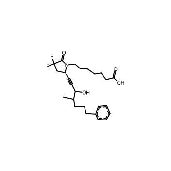 CC(CCCc1ccccc1)C(O)C#C[C@H]1CC(F)(F)C(=O)N1CCCCCCC(=O)O